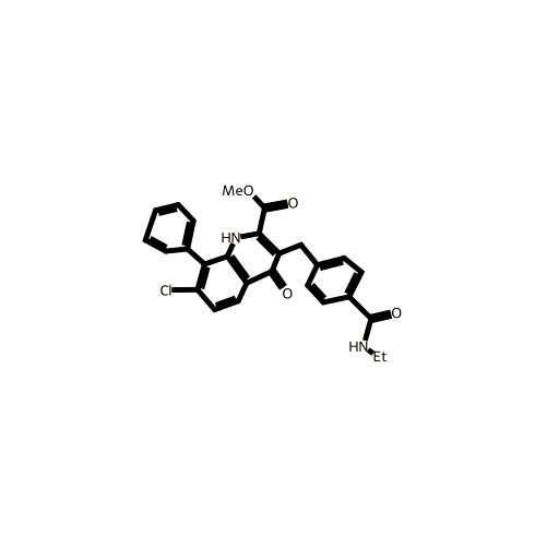 CCNC(=O)c1ccc(Cc2c(C(=O)OC)[nH]c3c(-c4ccccc4)c(Cl)ccc3c2=O)cc1